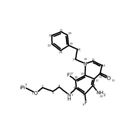 CC(C)OCCCNc1c(F)c(N)c2c(=O)ccn(CCc3ccccc3)c2c1F